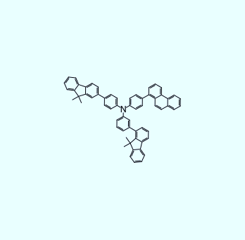 CC1(C)c2ccccc2-c2ccc(-c3ccc(N(c4ccc(-c5cccc6c5ccc5ccccc56)cc4)c4cccc(-c5cccc6c5C(C)(C)c5ccccc5-6)c4)cc3)cc21